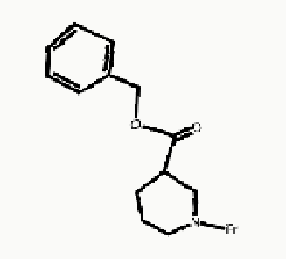 CC(C)N1CCCC(C(=O)OCc2ccccc2)C1